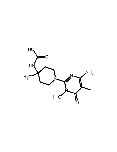 Cn1c(N2CCC(C)(NC(=O)O)CC2)nc(N)c(I)c1=O